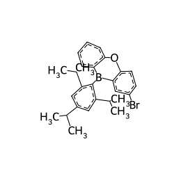 CC(C)c1cc(C(C)C)c(B2c3ccccc3Oc3ccc(Br)cc32)c(C(C)C)c1